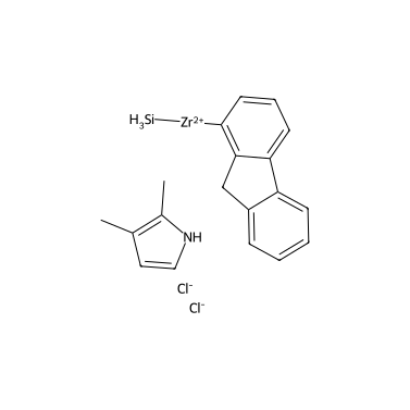 Cc1cc[nH]c1C.[Cl-].[Cl-].[SiH3][Zr+2][c]1cccc2c1Cc1ccccc1-2